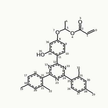 C=CC(=O)OC(C)Oc1ccc(-c2nc(-c3ccc(C)cc3C)nc(-c3ccc(C)cc3C)n2)c(O)c1